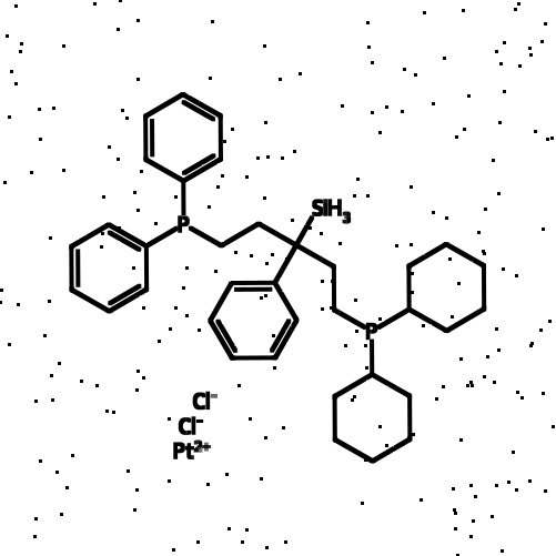 [Cl-].[Cl-].[Pt+2].[SiH3]C(CCP(c1ccccc1)c1ccccc1)(CCP(C1CCCCC1)C1CCCCC1)c1ccccc1